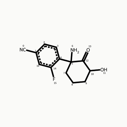 N#Cc1ccc(C2(N)CCCC(O)C2=O)c(F)c1